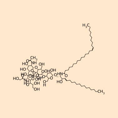 CCCCCCCCC/C=C\CCCCCCCCCCCCCC(=O)N[C@@H](CO[C@@H]1OC(CO)[C@@H](O[C@@H]2OC(CO)[C@H](O[C@@H]3OC(CO)[C@H](O)[C@H](O)C3NC(C)=O)[C@H](O[C@]3(C(=O)O)CC(O)[C@@H](NC(=O)CO)C([C@H](O)[C@H](O)CO)O3)C2O)[C@H](O)C1O)[C@H](O)/C=C/CCCCCCCCCCCCC